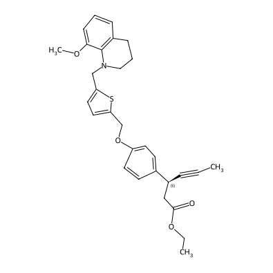 CC#C[C@@H](CC(=O)OCC)c1ccc(OCc2ccc(CN3CCCc4cccc(OC)c43)s2)cc1